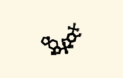 O=S(=O)(Nc1cc(F)c(C(F)(F)F)cc1F)c1c[nH]c2c1CCC1(CCCO1)C2